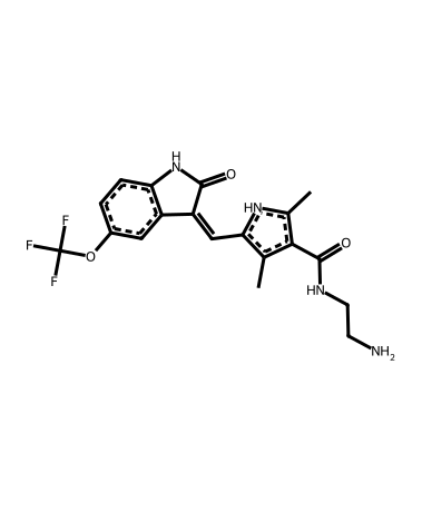 Cc1[nH]c(/C=C2\C(=O)Nc3ccc(OC(F)(F)F)cc32)c(C)c1C(=O)NCCN